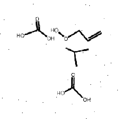 C=CCOO.CC(C)C.O=C(O)O.O=C(O)O